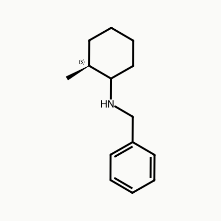 C[C@H]1CCCCC1NCc1ccccc1